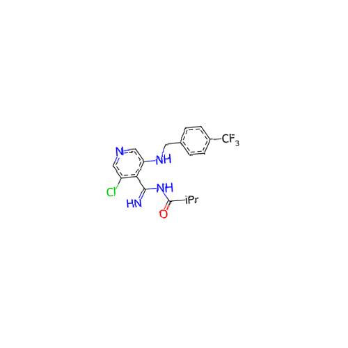 CC(C)C(=O)NC(=N)c1c(Cl)cncc1NCc1ccc(C(F)(F)F)cc1